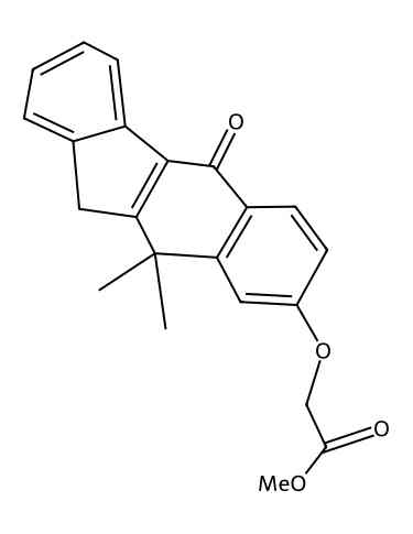 COC(=O)COc1ccc2c(c1)C(C)(C)C1=C(C2=O)c2ccccc2C1